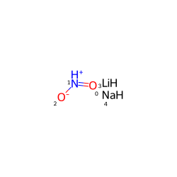 O=[NH+][O-].[LiH].[NaH]